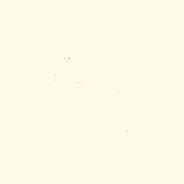 COC(=O)[C@H](C)N(C)C(=O)CNCCc1cc(F)cc(Cl)c1COc1ccc(OC)cc1